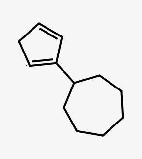 [C]1=C(C2CCCCCC2)C=CC1